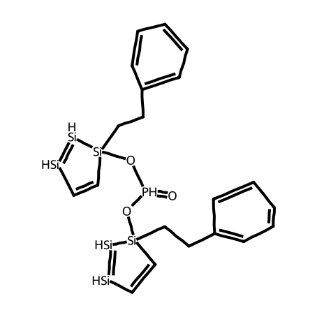 O=[PH](O[Si]1(CCc2ccccc2)C=C[SiH]=[SiH]1)O[Si]1(CCc2ccccc2)C=C[SiH]=[SiH]1